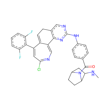 CNC1CC2CCC1N2C(=O)c1ccc(Nc2ncc3c(n2)C2=CN=C(Cl)C=C(c4c(F)cccc4F)C2=CC3)cc1